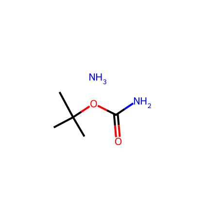 CC(C)(C)OC(N)=O.N